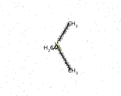 [CH2]Cc1cc(SCCCCCCCCCCCCCCCCC)cc(SCCCCCCCCCCCCCCCCC)c1